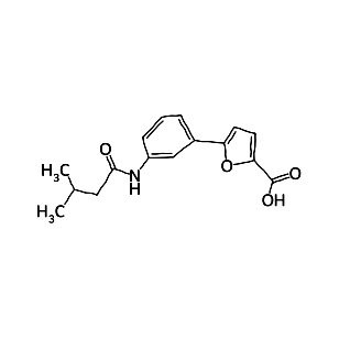 CC(C)CC(=O)Nc1cccc(-c2ccc(C(=O)O)o2)c1